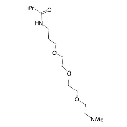 CNCCOCCOCCOCCCNC(=O)C(C)C